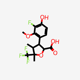 COc1c(C2C(C(=O)O)OC(C)(C(F)(F)F)C2C)ccc(O)c1F